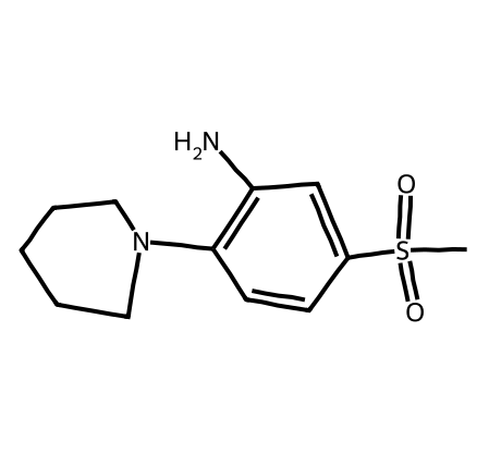 CS(=O)(=O)c1ccc(N2CCCCC2)c(N)c1